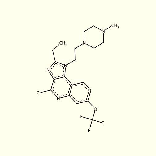 CCc1nc2c(Cl)nc3cc(OC(F)(F)F)ccc3c2n1CCN1CCN(C)CC1